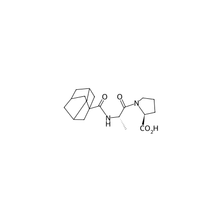 C[C@H](NC(=O)C12CC3CC(CC(C3)C1)C2)C(=O)N1CCC[C@H]1C(=O)O